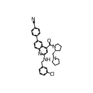 N#Cc1ccc(-c2ccc3nc(NCc4cccc(Cl)c4)cc(C(=O)N4CCC[C@H]4CN4CCCC4)c3c2)cc1